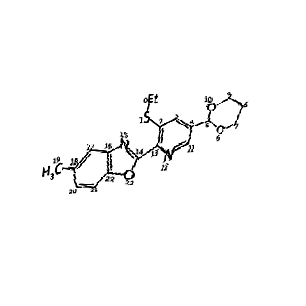 CCSc1cc(C2OCCCO2)cnc1-c1nc2cc(C)ccc2o1